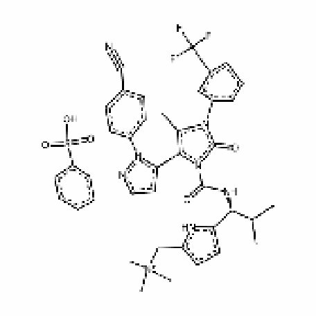 Cc1c(-c2ccnn2-c2ccc(C#N)cc2)n(C(=O)N[C@H](c2ccc(C[N+](C)(C)C)[nH]2)C(C)C)c(=O)n1-c1cccc(C(F)(F)F)c1.O=S(=O)(O)c1ccccc1